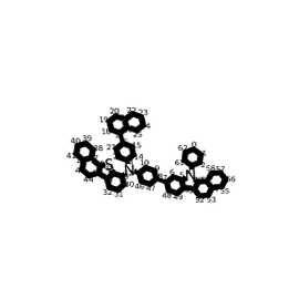 c1ccc(-n2c3cc(-c4ccc(N(c5ccc(-c6cccc7ccccc67)cc5)c5cccc6c5sc5c7ccccc7ccc65)cc4)ccc3c3ccc4ccccc4c32)cc1